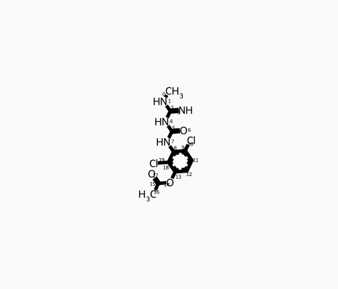 CNC(=N)NC(=O)Nc1c(Cl)ccc(OC(C)=O)c1Cl